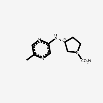 Cc1cnc(N[C@@H]2CCN(C(=O)O)C2)cn1